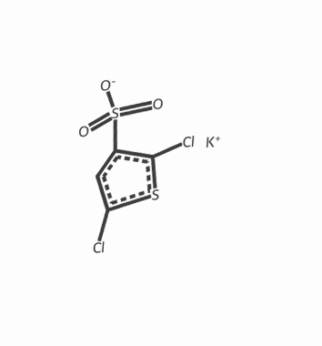 O=S(=O)([O-])c1cc(Cl)sc1Cl.[K+]